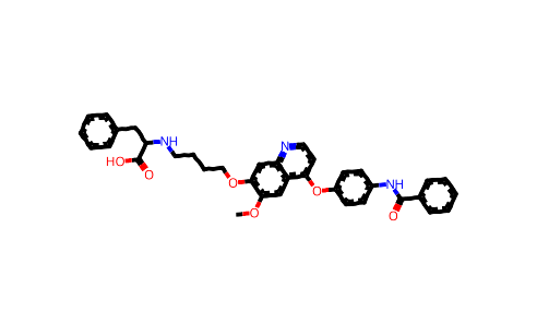 COc1cc2c(Oc3ccc(NC(=O)c4ccccc4)cc3)ccnc2cc1OCCCCNC(Cc1ccccc1)C(=O)O